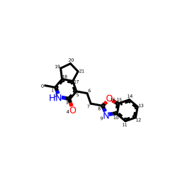 Cc1[nH]c(=O)c(CCc2nc3ccccc3o2)c2c1CCC2